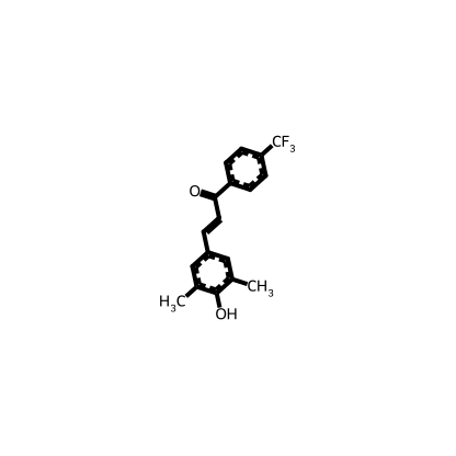 Cc1cc(/C=C/C(=O)c2ccc(C(F)(F)F)cc2)cc(C)c1O